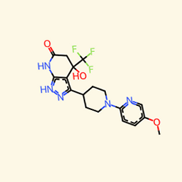 COc1ccc(N2CCC(c3n[nH]c4c3C(O)(C(F)(F)F)CC(=O)N4)CC2)nc1